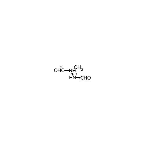 O.O=CNNC=O